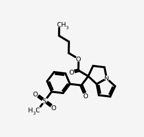 CCCCOC(=O)C1(C(=O)c2cccc(S(C)(=O)=O)c2)CCn2cccc21